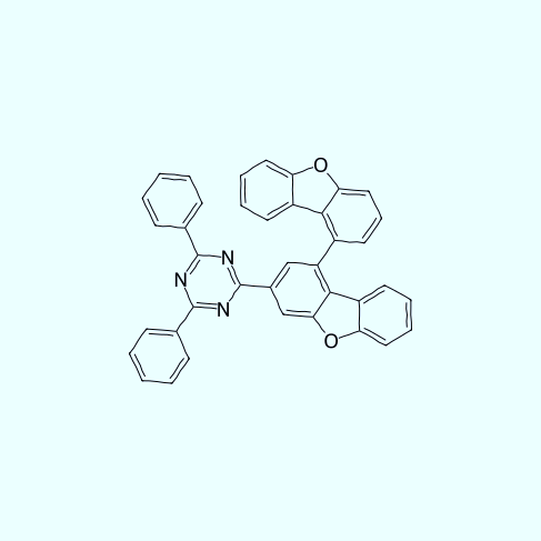 c1ccc(-c2nc(-c3ccccc3)nc(-c3cc(-c4cccc5oc6ccccc6c45)c4c(c3)oc3ccccc34)n2)cc1